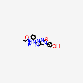 C=CC(=O)Nc1ccccc1Nc1ncc2c(n1)N(C)C(=O)N(C13CCC(O)(CC1)CC3)C2